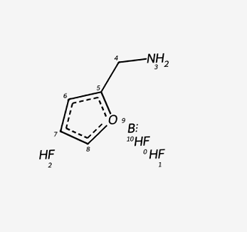 F.F.F.NCc1ccco1.[B]